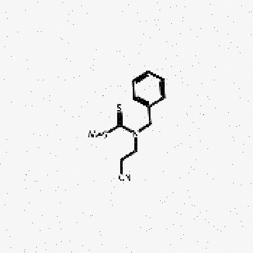 CSC(=S)N(CCC#N)Cc1ccccc1